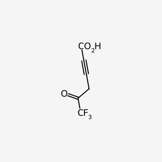 O=C(O)C#CCC(=O)C(F)(F)F